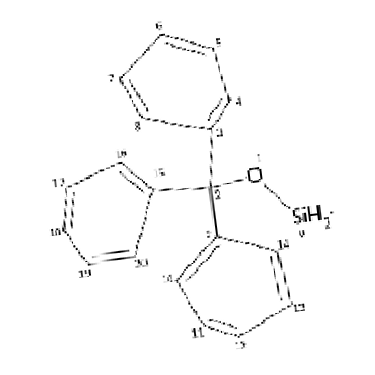 [SiH2]OC(c1ccccc1)(c1ccccc1)c1ccccc1